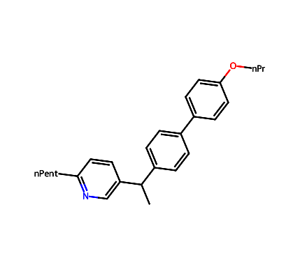 CCCCCc1ccc(C(C)c2ccc(-c3ccc(OCCC)cc3)cc2)cn1